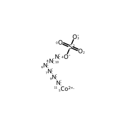 O=S(=O)([O-])[O-].[Co+2].[N].[N].[N].[N].[N].[N]